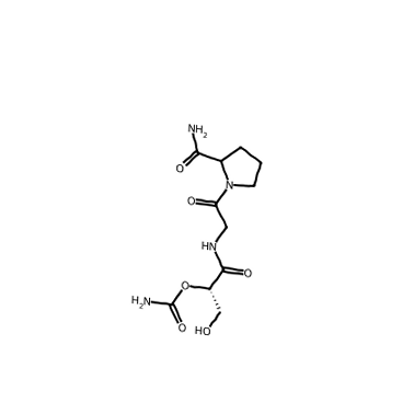 NC(=O)O[C@@H](CO)C(=O)NCC(=O)N1CCCC1C(N)=O